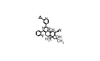 C=CC[C@@]1(C)C(O)=C(C#N)C[C@@]2(C)c3nc(-c4ccnc(C5CC5)c4)nc(-c4ccccc4F)c3CC[C@H]12